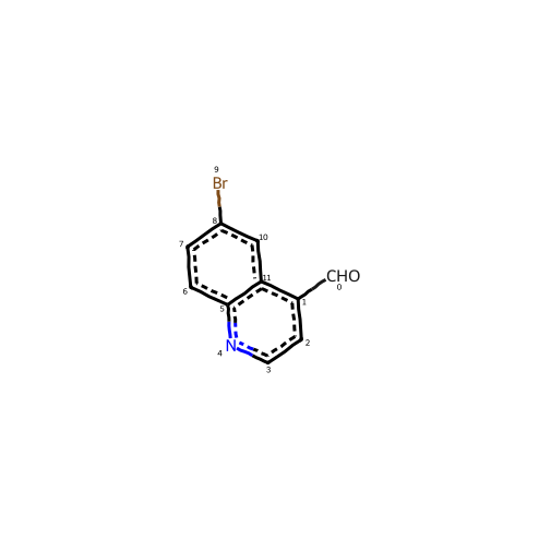 O=Cc1ccnc2ccc(Br)cc12